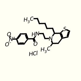 CCCCCCC1c2sccc2CC(C)N1CCNC(=O)c1ccc([N+](=O)[O-])cc1.Cl